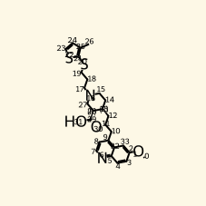 COc1ccc2nccc(CCC[C@@H]3CCN(CCCSc4sccc4C)C[C@@H]3C(=O)O)c2c1